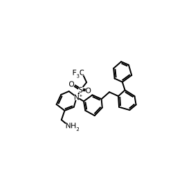 NCC1=C[N+](c2cccc(Cc3ccccc3-c3ccccc3)c2)(S(=O)(=O)CC(F)(F)F)CC=C1